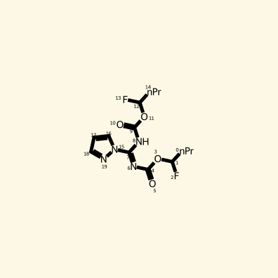 CCCC(F)OC(=O)N=C(NC(=O)OC(F)CCC)n1cccn1